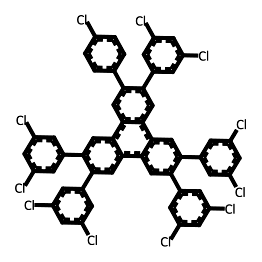 Clc1ccc(-c2cc3c(cc2-c2cc(Cl)cc(Cl)c2)c2cc(-c4cc(Cl)cc(Cl)c4)c(-c4cc(Cl)cc(Cl)c4)cc2c2cc(-c4cc(Cl)cc(Cl)c4)c(-c4cc(Cl)cc(Cl)c4)cc32)cc1